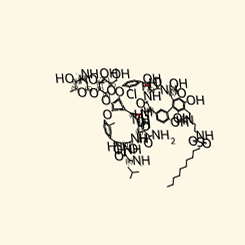 CCCCCCCCCCS(=O)(=O)NCCNCc1c(O)cc2c(c1O)-c1cc(ccc1O)[C@H]1NC(=O)[C@@H]3NC(=O)[C@H](CC(N)=O)NC(=O)[C@H](NC(=O)[C@@H](CC(C)C)NC)[C@H](O)c4ccc(c(C)c4)Oc4cc3cc(c4O[C@@H]3O[C@H](CO)[C@@H](O)[C@H](O)[C@H]3O[C@H]3C[C@](C)(N)[C@H](O)[C@H](C)O3)Oc3ccc(cc3Cl)[C@@H](O)[C@H](NC1=O)C(=O)N[C@@H]2C(=O)O